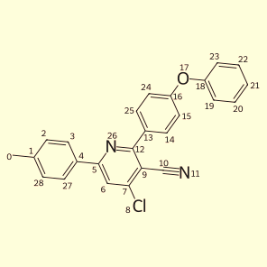 Cc1ccc(-c2cc(Cl)c(C#N)c(-c3ccc(Oc4ccccc4)cc3)n2)cc1